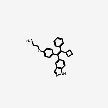 NCCOc1ccc(/C(=C(\c2ccccc2)C2CCC2)c2ccc3[nH]ncc3c2)cc1